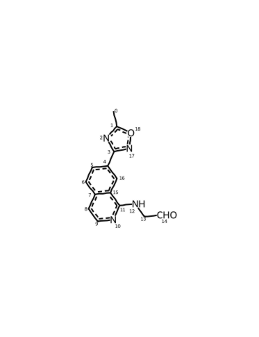 Cc1nc(-c2ccc3ccnc(NCC=O)c3c2)no1